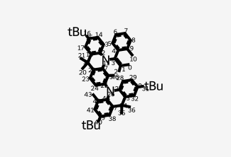 CC(C)=C(c1ccccc1C)N1c2ccc(C(C)(C)C)cc2C(C)(C)c2ccc(N3c4ccc(C(C)(C)C)cc4C(C)(C)c4cc(C(C)(C)C)cc(C)c43)c(C)c21